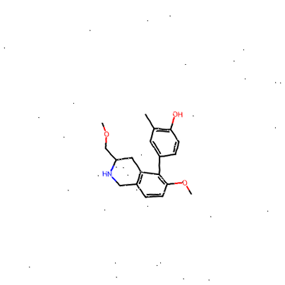 COCC1Cc2c(ccc(OC)c2-c2ccc(O)c(C)c2)CN1